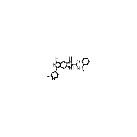 Cc1cc(-c2n[nH]c3cc4[nH]c(C(=O)N[C@H](C)c5ccccc5)nc4cc23)ccn1